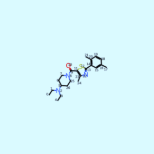 CCN(CC)C1CCN(C(=O)c2sc(-c3cc(C)ccc3C)nc2C)CC1